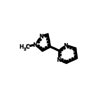 Cn1cc(-c2ncccn2)cn1